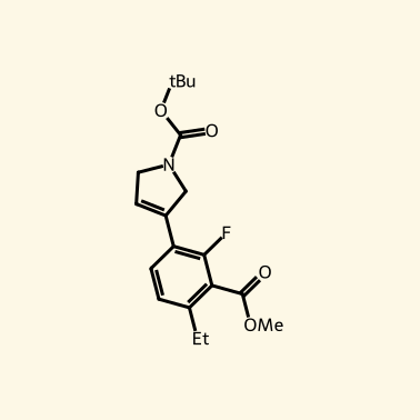 CCc1ccc(C2=CCN(C(=O)OC(C)(C)C)C2)c(F)c1C(=O)OC